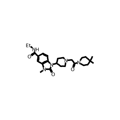 CCNC(=O)c1ccc2c(c1)n(C)c(=O)n2C1CCN(CC(=O)N2CCC(C)(C)CC2)CC1